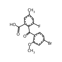 COc1cc(Br)ccc1C(=O)c1c(F)cc(C)cc1C(=O)O